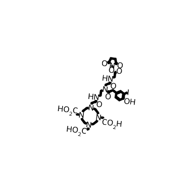 O=C(O)CN1CCN(CC(=O)O)CCN(CC(=O)NCCN(CC(=O)NCC(=O)ON2C(=O)CCC2=O)C(=O)Cc2ccc(O)c(I)c2)CCN(CC(=O)O)CC1